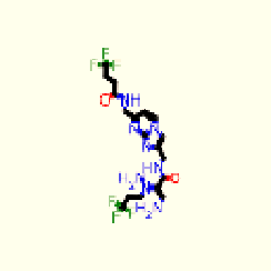 N/C=C(/C(=O)NCc1cn2ccc(CNC(=O)CCC(F)(F)F)nc2n1)N(N)CCC(F)(F)F